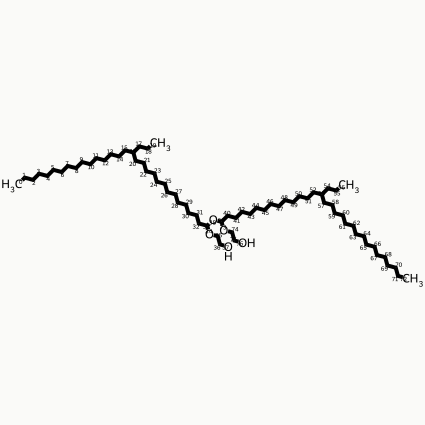 CCCCCCCCCCCCCCCCC(CCC)CCCCCCCCCCCCCC(OCCO)OC(CCCCCCCCCCCCCC(CCC)CCCCCCCCCCCCCCCC)OCCO